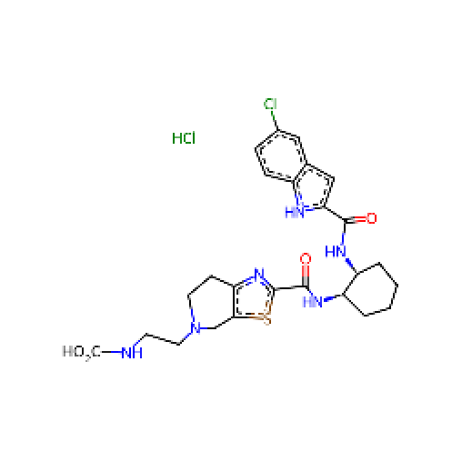 Cl.O=C(O)NCCN1CCc2nc(C(=O)N[C@@H]3CCCC[C@@H]3NC(=O)c3cc4cc(Cl)ccc4[nH]3)sc2C1